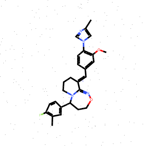 COc1cc(/C=C2\CCCN3C2=NOCCC3c2ccc(F)c(C)c2)ccc1-n1cnc(C)c1